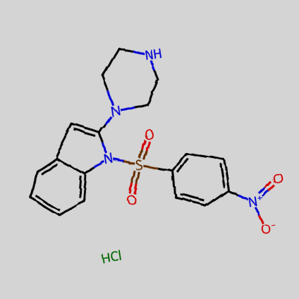 Cl.O=[N+]([O-])c1ccc(S(=O)(=O)n2c(N3CCNCC3)cc3ccccc32)cc1